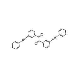 O=C(C(=O)c1cccc(C#Cc2ccccc2)c1)c1cccc(C#Cc2ccccc2)c1